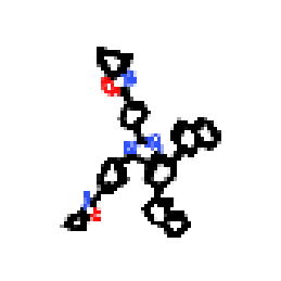 C1=C(c2nc(-c3ccc(-c4nc5ccccc5o4)cc3)c3cc(-c4ccc5ccccc5c4)cc(-c4ccc5ccccc5c4)c3n2)CCC(c2nc3ccccc3o2)=C1